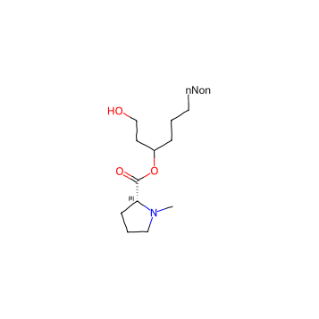 CCCCCCCCCCCCC(CCO)OC(=O)[C@H]1CCCN1C